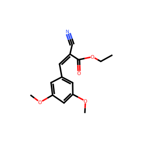 CCOC(=O)C(C#N)=Cc1cc(OC)cc(OC)c1